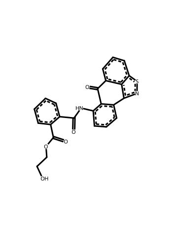 O=C(Nc1cccc2c1C(=O)c1cccc3snc-2c13)c1ccccc1C(=O)OCCO